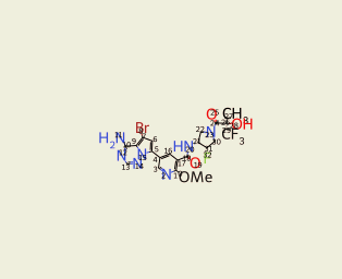 COc1ncc(-c2cc(Br)c3c(N)ncnn23)cc1C(=O)N[C@@H]1CN(C(=O)[C@@](C)(O)C(F)(F)F)C[C@@H]1F